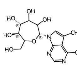 Cc1cn([C@@H]2OC(CO)[C@@H](O)[C@H](O)C(O)C2O)c2ncnc(Cl)c12